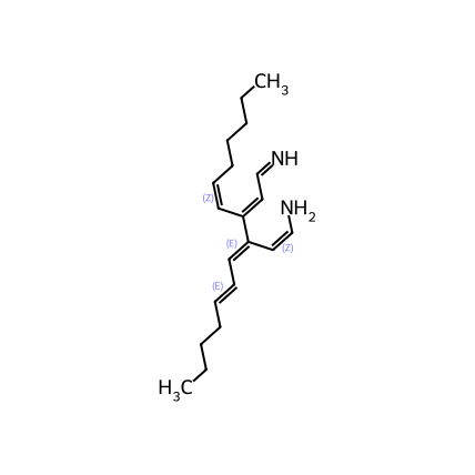 CCCC/C=C/C=C(\C=C/N)C(=CC=N)/C=C\CCCCC